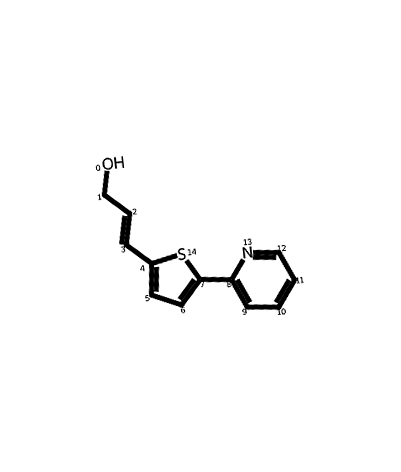 OCC=Cc1ccc(-c2ccccn2)s1